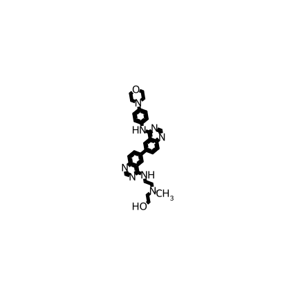 CN(CCO)CCNc1ncnc2ccc(-c3ccc4ncnc(Nc5ccc(N6CCOCC6)cc5)c4c3)cc12